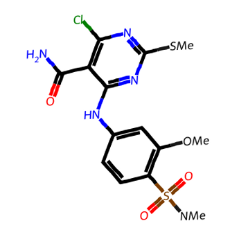 CNS(=O)(=O)c1ccc(Nc2nc(SC)nc(Cl)c2C(N)=O)cc1OC